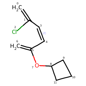 C=C(Cl)/C=C\C(=C)OC1CCC1